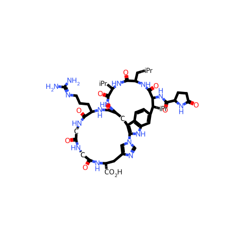 CC(C)CC1NC(=O)C(NC(=O)C2CCC(=O)N2)C(C(C)C)c2ccc3c4c([nH]c3c2)-n2cnc(c2)CC(C(=O)O)NC(=O)CNC(=O)CNC(=O)C(CCCN=C(N)N)NC(=O)C(C4)NC(=O)C(C(C)C)NC1=O